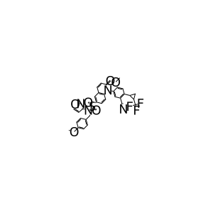 COc1ccc(CN(c2ccon2)S(=O)(=O)c2ccc3c(ccc(=O)n3-c3cc(C#N)c(C4CC4C(F)(F)F)cc3OC)c2)cc1